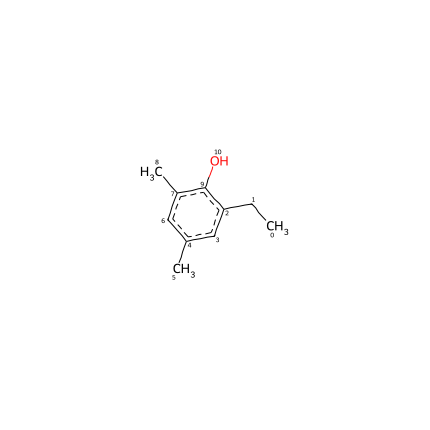 CCc1cc(C)cc(C)c1O